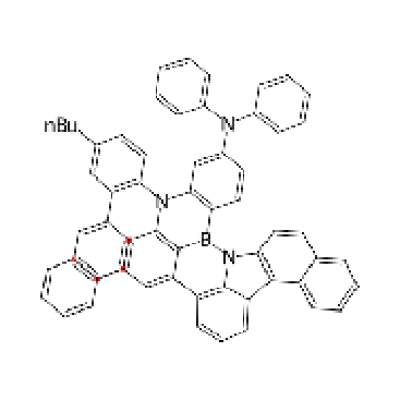 CCCCc1ccc(N2c3cc(N(c4ccccc4)c4ccccc4)ccc3B3c4c(cc(-c5ccccc5)cc42)-c2cccc4c5c6ccccc6ccc5n3c24)c(-c2ccccc2)c1